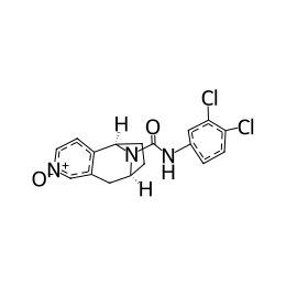 O=C(Nc1ccc(Cl)c(Cl)c1)N1[C@H]2CC[C@@H]1c1cc[n+]([O-])cc1C2